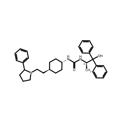 C[C@@H](NC(=O)N[C@H]1CC[C@H](CCN2CCCC2c2ccccc2)CC1)C(O)(c1ccccc1)c1ccccc1